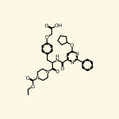 CCOC(=O)N1CCN(C(=O)C(Cc2ccc(OCC(=O)O)cc2)NC(=O)c2cc(OC3CCCC3)nc(-c3ccccc3)n2)CC1